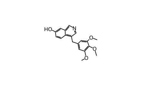 COc1cc(Cc2cncc3cc(O)ccc23)cc(OC)c1OC